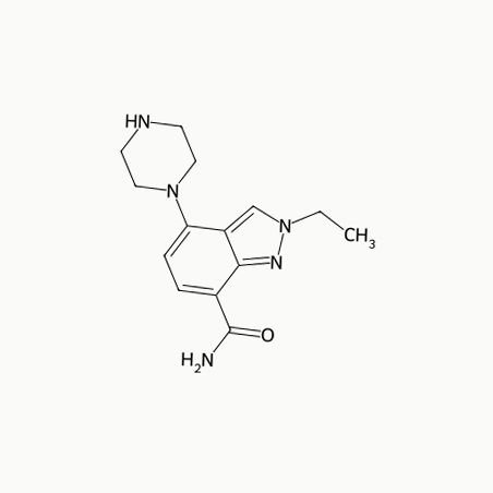 CCn1cc2c(N3CCNCC3)ccc(C(N)=O)c2n1